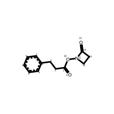 O=C(CCc1ccccc1)ON1CCC1=O